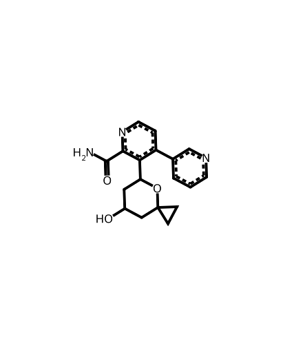 NC(=O)c1nccc(-c2cccnc2)c1C1CC(O)CC2(CC2)O1